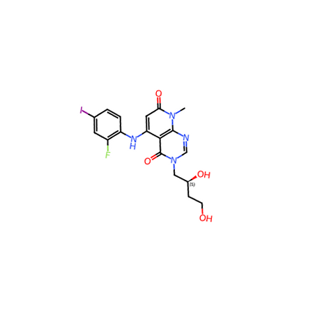 Cn1c(=O)cc(Nc2ccc(I)cc2F)c2c(=O)n(C[C@@H](O)CCO)cnc21